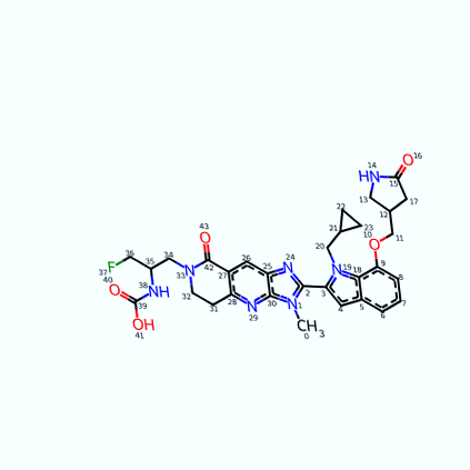 Cn1c(-c2cc3cccc(OCC4CNC(=O)C4)c3n2CC2CC2)nc2cc3c(nc21)CCN(CC(CF)NC(=O)O)C3=O